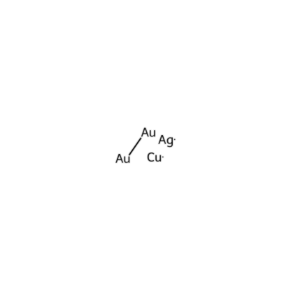 [Ag].[Au][Au].[Cu]